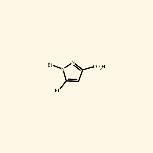 CCc1cc(C(=O)O)nn1CC